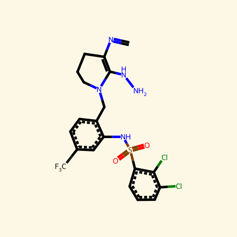 C=NC1=C(NN)N(Cc2ccc(C(F)(F)F)cc2NS(=O)(=O)c2cccc(Cl)c2Cl)CCC1